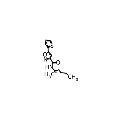 CCCC[C@H](C)NC(=O)c1cc(-c2cccs2)on1